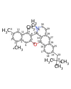 Cc1cc(C)c2cc3c(c(C)c2c1)-c1c2c(c4ccc(CC(C)(C)C)cc4cc2cc[n+]1C)O3